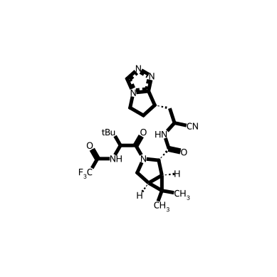 CC(C)(C)C(NC(=O)C(F)(F)F)C(=O)N1C[C@H]2[C@@H]([C@H]1C(=O)NC(C#N)C[C@@H]1CCn3cnnc31)C2(C)C